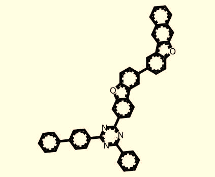 c1ccc(-c2ccc(-c3nc(-c4ccccc4)nc(-c4ccc5c(c4)oc4ccc(-c6ccc7oc8cc9ccccc9cc8c7c6)cc45)n3)cc2)cc1